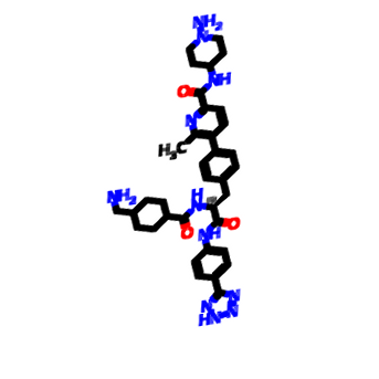 Cc1nc(C(=O)NC2CCN(N)CC2)ccc1-c1ccc(C[C@H](NC(=O)C2CCC(CN)CC2)C(=O)Nc2ccc(-c3nn[nH]n3)cc2)cc1